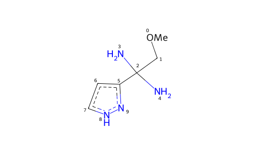 COCC(N)(N)c1cc[nH]n1